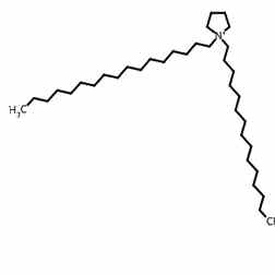 CCCCCCCCCCCCCCCCC[N+]1(CCCCCCCCCCCCCCC)CCCC1